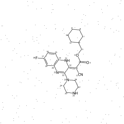 N#CC(C(=O)OCC1CCCCC1)=C1Nc2ccc(F)cc2N=C1N1CCNCC1